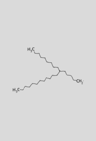 [CH2]CCCCC(CCCCCCCCC)CCCCCCCCCCCC